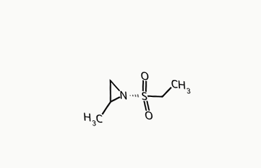 CCS(=O)(=O)[N@@]1CC1C